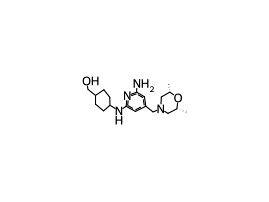 C[C@@H]1CN(Cc2cc(N)nc(NC3CCC(CO)CC3)c2)C[C@H](C)O1